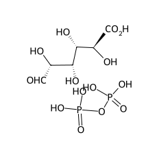 O=C[C@H](O)[C@@H](O)[C@H](O)[C@H](O)C(=O)O.O=P(O)(O)OP(=O)(O)O